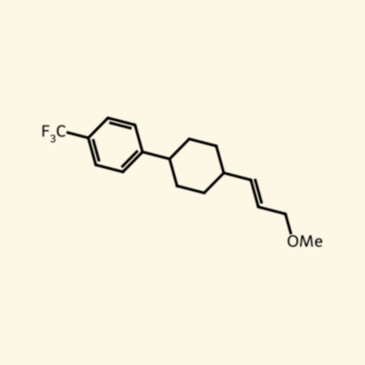 COCC=CC1CCC(c2ccc(C(F)(F)F)cc2)CC1